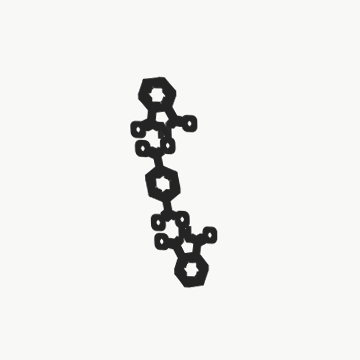 O=C(ON1C(=O)c2ccccc2C1=O)c1ccc(C(=O)ON2C(=O)c3ccccc3C2=O)cc1